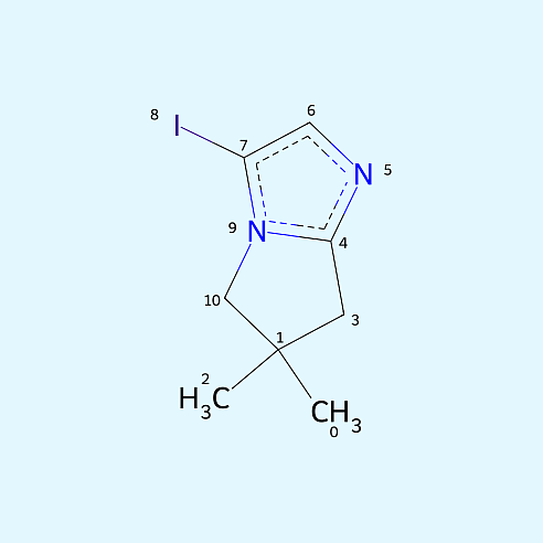 CC1(C)Cc2ncc(I)n2C1